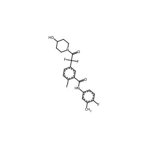 Cc1cc(NC(=O)c2cc(C(F)(F)C(=O)N3CCC(O)CC3)ccc2F)ccc1F